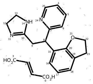 O=C(O)/C=C/C(=O)O.c1ccc(C(CC2=NCCN2)c2cccc3c2OCC3)nc1